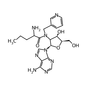 CCCC(N)C(=O)N(Cc1cccnc1)C1[C@@H](O)[C@@H](CO)O[C@H]1n1cnc2c(N)ncnc21